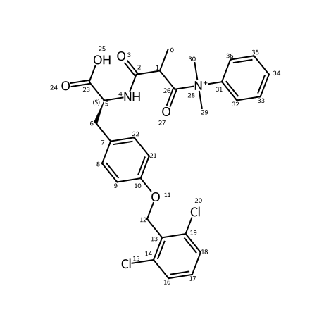 CC(C(=O)N[C@@H](Cc1ccc(OCc2c(Cl)cccc2Cl)cc1)C(=O)O)C(=O)[N+](C)(C)c1ccccc1